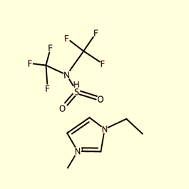 CCn1cc[n+](C)c1.O=[SH](=O)N(C(F)(F)F)C(F)(F)F